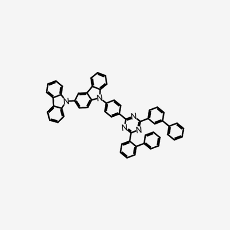 c1ccc(-c2cccc(-c3nc(-c4ccc(-n5c6ccccc6c6cc(-n7c8ccccc8c8ccccc87)ccc65)cc4)nc(-c4ccccc4-c4ccccc4)n3)c2)cc1